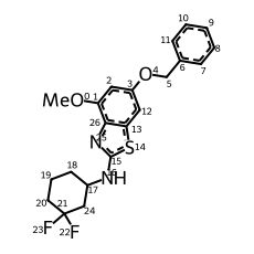 COc1cc(OCc2ccccc2)cc2sc(NC3CCCC(F)(F)C3)nc12